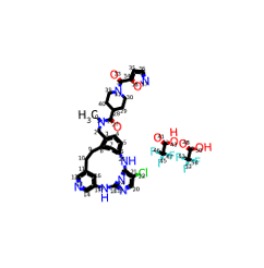 CN(Cc1ccc2cc1CCc1cncc(c1)Nc1ncc(Cl)c(n1)N2)C(=O)C1CCN(C(=O)c2ccno2)CC1.O=C(O)C(F)(F)F.O=C(O)C(F)(F)F